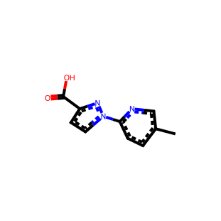 Cc1ccc(-n2ccc(C(=O)O)n2)nc1